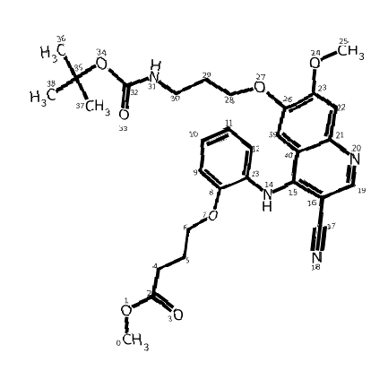 COC(=O)CCCOc1ccccc1Nc1c(C#N)cnc2cc(OC)c(OCCCNC(=O)OC(C)(C)C)cc12